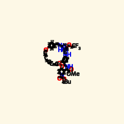 COC(=O)C(NC(=O)c1ccc2cc1OCCCCCCCCOc1ccc(cc1)CNc1nc(nc(OCC(F)(F)F)n1)N2)C1CCCN(C(=O)OC(C)(C)C)C1